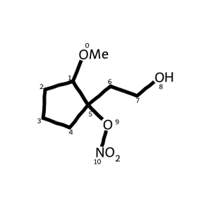 COC1CCCC1(CCO)O[N+](=O)[O-]